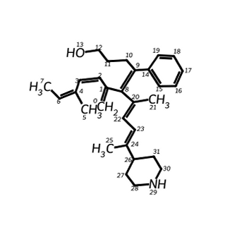 C=C(/C=C\C(C)=C/C)C(=C(\CCCO)c1ccccc1)/C(C)=C/C=C(\C)C1CCNCC1